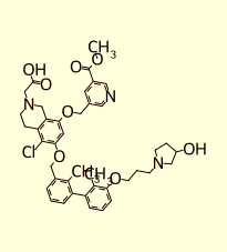 COC(=O)c1cncc(COc2cc(OCc3cccc(-c4cccc(OCCCN5CCC(O)C5)c4C)c3C)c(Cl)c3c2CN(CC(=O)O)CC3)c1